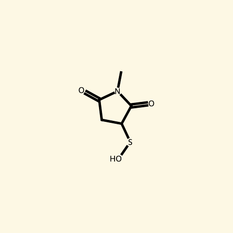 CN1C(=O)CC(SO)C1=O